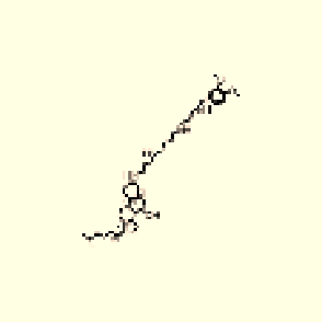 COc1ccc(CNCCCNCCCCNCCCN[C@H]2CC[C@]3(C)C4CC[C@@]5(C)C(CC[C@@H]5[C@H](C)CCCC(C)C)C4[C@@H](O)C[C@@H]3C2)cc1OC